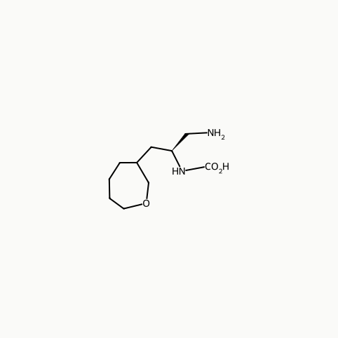 NC[C@H](CC1CCCCOC1)NC(=O)O